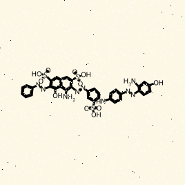 Nc1cc(O)ccc1N=Nc1ccc(Nc2ccc(N=Nc3c(S(=O)(=O)O)cc4cc(S(=O)(=O)O)c(N=Nc5ccccc5)c(O)c4c3N)cc2S(=O)(=O)O)cc1